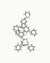 C1=CC[C@@H](c2ccc3c(c2)c2cc(-c4ccccc4)ccc2n3-c2cccc3oc4cc(C5CCC(c6ccccc6)=NC(c6ccccc6)=N5)ccc4c23)C=C1